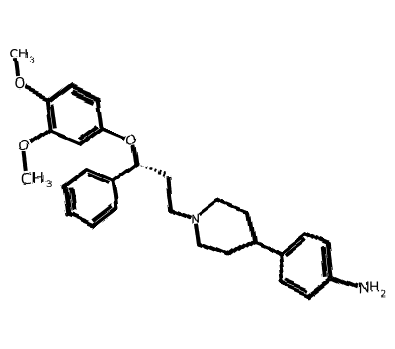 COc1ccc(O[C@H](CCN2CCC(c3ccc(N)cc3)CC2)c2ccccc2)cc1OC